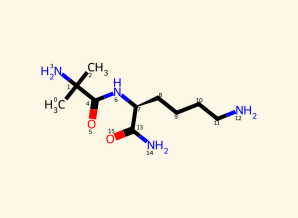 CC(C)(N)C(=O)N[C@@H](CCCCN)C(N)=O